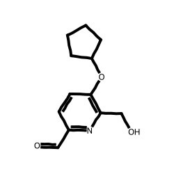 O=Cc1ccc(OC2CCCC2)c(CO)n1